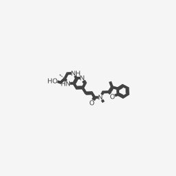 Cc1c(CN(C)C(=O)/C=C/c2cnc3c(c2)N[C@@](C)(CO)CN3)oc2ccccc12